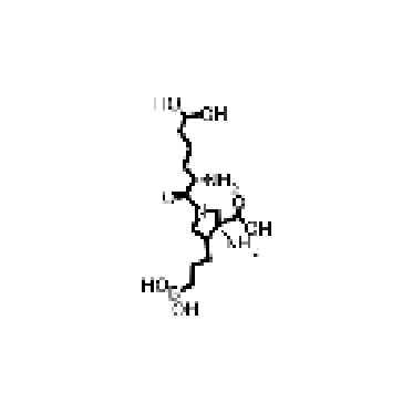 N[C@@H](CCCC(O)O)C(=O)N1CC(CCCB(O)O)[C@](N)(C(=O)O)C1